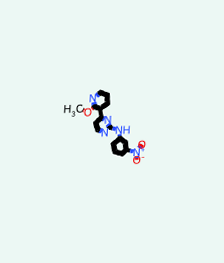 COc1ncccc1-c1ccnc(Nc2cccc([N+](=O)[O-])c2)n1